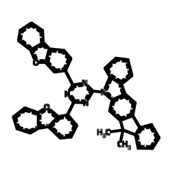 CC1(C)c2ccccc2-c2cc3c4ccccc4n(-c4nc(-c5ccc6c(c5)oc5ccccc56)nc(-c5cccc6c5oc5ccccc56)n4)c3cc21